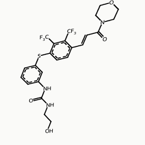 O=C(NCCO)Nc1cccc(Sc2ccc(/C=C/C(=O)N3CCOCC3)c(C(F)(F)F)c2C(F)(F)F)c1